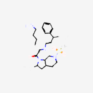 CS(=O)(=O)N1CCC2CC(C(=O)O)N(C(=O)[C@H](CCCCN)NCCC(C(=O)O)c3ccccc3)C2C1